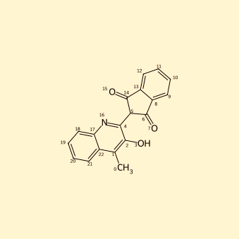 Cc1c(O)c(C2C(=O)c3ccccc3C2=O)nc2ccccc12